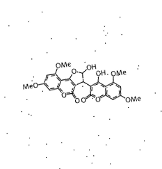 COc1cc(OC)c2c(O)c(C3c4c(c5c(OC)cc(OC)cc5oc4=O)OC3O)c(=O)oc2c1